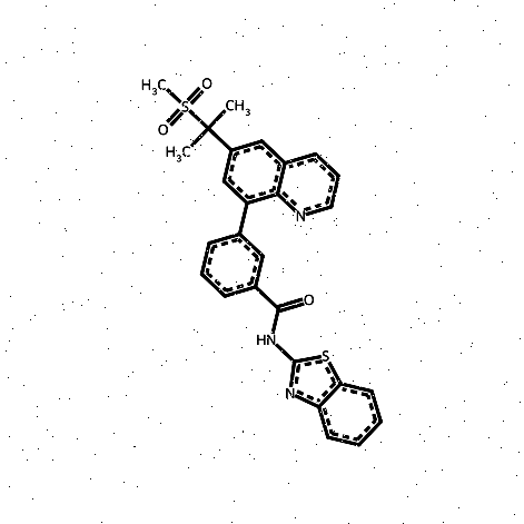 CC(C)(c1cc(-c2cccc(C(=O)Nc3nc4ccccc4s3)c2)c2ncccc2c1)S(C)(=O)=O